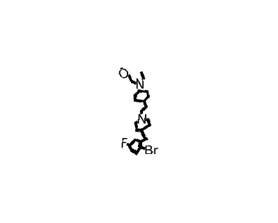 CCN(CCOC)C1CCC(CCN2CCC(Cc3cc(F)ccc3Br)CC2)CC1